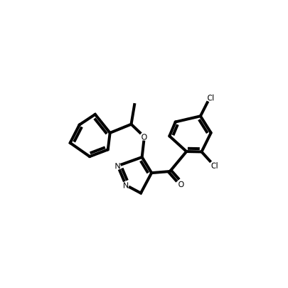 CC(OC1=C(C(=O)c2ccc(Cl)cc2Cl)CN=N1)c1ccccc1